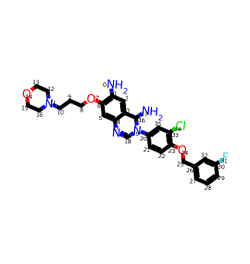 Nc1cc2c(cc1OCCCN1CCOCC1)N=CN(c1ccc(OCc3cccc(F)c3)c(Cl)c1)C2N